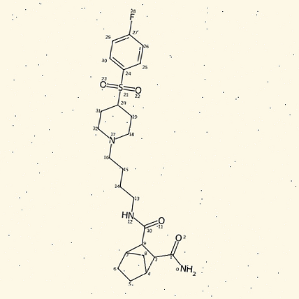 NC(=O)C1C2CCC(C2)C1C(=O)NCCCCN1CCC(S(=O)(=O)c2ccc(F)cc2)CC1